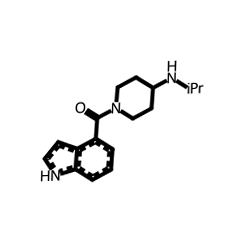 CC(C)NC1CCN(C(=O)c2cccc3[nH]ccc23)CC1